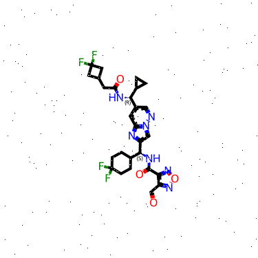 O=Cc1nonc1C(=O)N[C@H](c1cn2ncc([C@H](NC(=O)CC3CC(F)(F)C3)C3CC3)cc2n1)C1CCC(F)(F)CC1